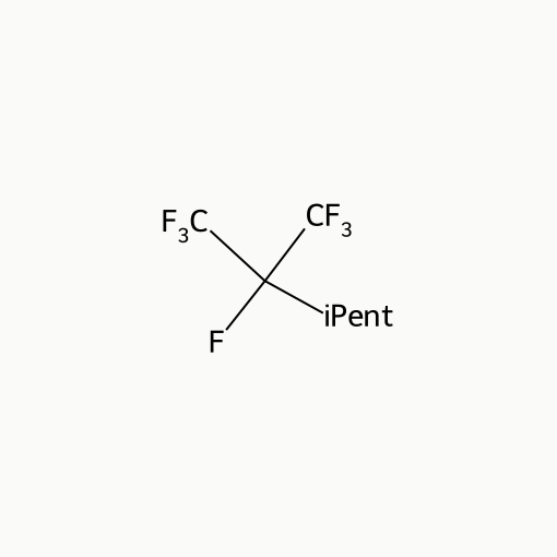 CCCC(C)C(F)(C(F)(F)F)C(F)(F)F